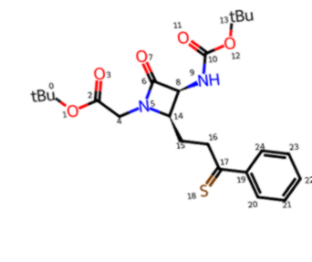 CC(C)(C)OC(=O)CN1C(=O)[C@@H](NC(=O)OC(C)(C)C)[C@H]1CCC(=S)c1ccccc1